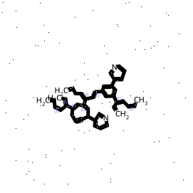 C=C\C=C/C(=C\C)C1=C/C(C(=C\CC=C)/C=C/c2cc(/C(C=C)=C/C=C\C)cc(-c3cccnc3)c2)=C\C(c2cccnc2)C#CC\1